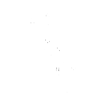 O=c1cc2n(cc1O)CCN(Cc1nc3ccccc3s1)C2